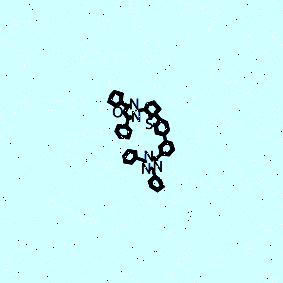 c1ccc(-c2nc(-c3ccccc3)nc(-c3cccc(-c4ccc5c(c4)sc4c(-c6nc(-c7ccccc7)c7oc8ccccc8c7n6)cccc45)c3)n2)cc1